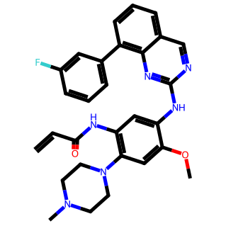 C=CC(=O)Nc1cc(Nc2ncc3cccc(-c4cccc(F)c4)c3n2)c(OC)cc1N1CCN(C)CC1